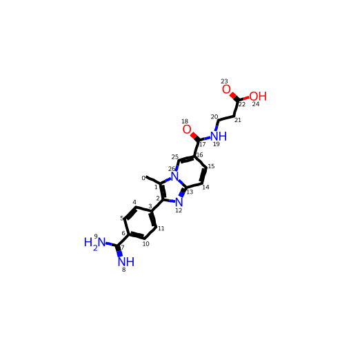 Cc1c(-c2ccc(C(=N)N)cc2)nc2ccc(C(=O)NCCC(=O)O)cn12